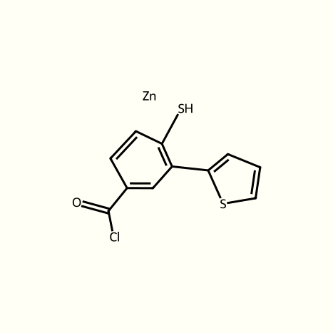 O=C(Cl)c1ccc(S)c(-c2cccs2)c1.[Zn]